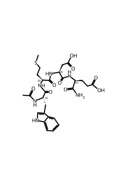 CSCC[C@H](NC(=O)[C@H](Cc1c[nH]c2ccccc12)NC(C)=O)C(=O)N[C@@H](CC(=O)O)C(=O)N[C@@H](CCC(=O)O)C(N)=O